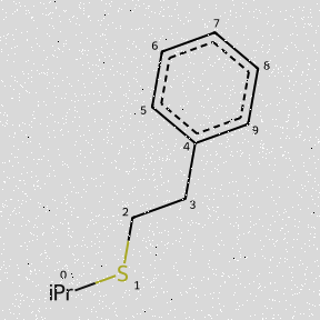 CC(C)SCCc1ccccc1